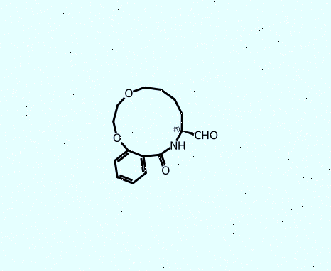 O=C[C@@H]1CCCCOCCOc2ccccc2C(=O)N1